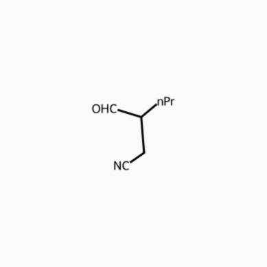 CCCC(C=O)CC#N